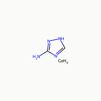 Nc1nc[nH]n1.[GeH4]